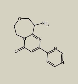 NC1COCCn2c1nc(-c1ccncn1)cc2=O